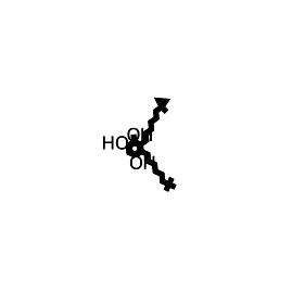 CC(C)(C)CCCCCCc1c(O)cc(O)c(O)c1CCCCCCC1(C)CC1